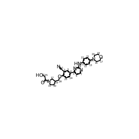 N#Cc1cc(-c2ccnc(Nc3ccc(N4CCOCC4)cc3)n2)ccc1OCC1CCN(C(=O)CO)C1